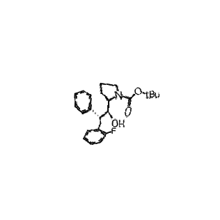 CC(C)(C)OC(=O)N1CCCC1[C@@H](O)[C@@H](c1ccccc1)c1ccccc1F